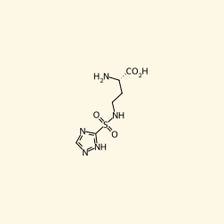 N[C@@H](CCNS(=O)(=O)c1ncn[nH]1)C(=O)O